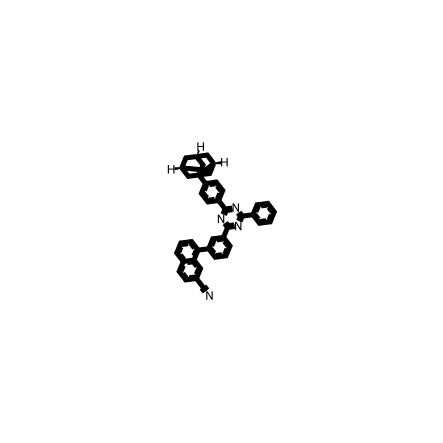 N#Cc1ccc2cccc(-c3cccc(-c4nc(-c5ccccc5)nc(-c5ccc(C67C[C@H]8C[C@@H](C6)C[C@@H](C7)C8)cc5)n4)c3)c2c1